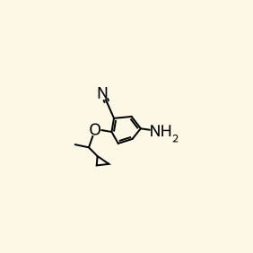 CC(Oc1ccc(N)cc1C#N)C1CC1